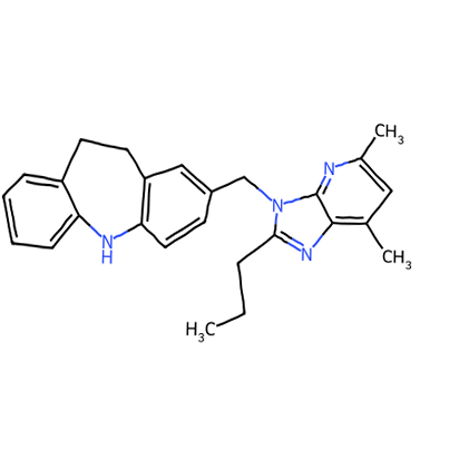 CCCc1nc2c(C)cc(C)nc2n1Cc1ccc2c(c1)CCc1ccccc1N2